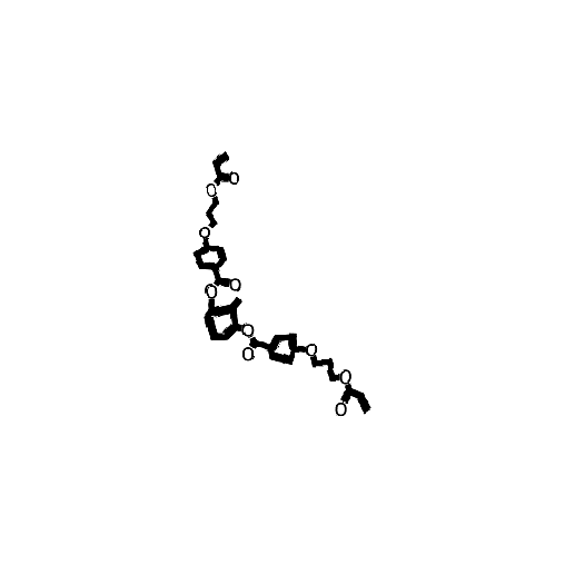 C=CC(=O)OCCCOc1ccc(C(=O)Oc2cccc(OC(=O)c3ccc(OCCCOC(=O)C=C)cc3)c2C)cc1